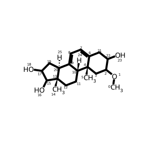 COC1C[C@@]2(C)C(=CC=C3[C@H]2CC[C@]2(C)C(O)C(O)C[C@@H]32)CC1O